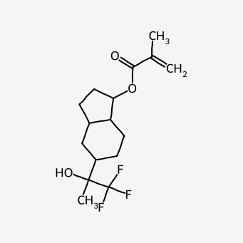 C=C(C)C(=O)OC1CCC2CC(C(C)(O)C(F)(F)F)CCC21